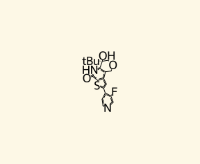 CC(C)(C)[C@]1(O)COCc2c1[nH]c(=O)c1sc(-c3ccncc3F)cc21